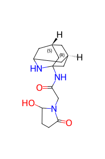 O=C(CN1C(=O)CCC1O)NC12C[C@@H]3CC(C[C@@H](C3)C1)N2